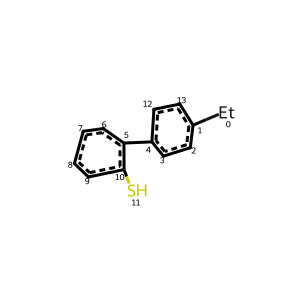 CCc1ccc(-c2ccccc2S)cc1